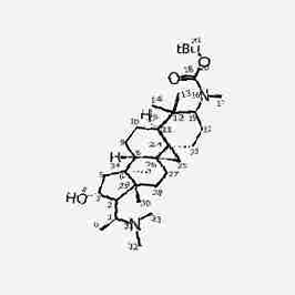 C[C@@H](C1[C@H](O)C[C@@]2(C)[C@@H]3CC[C@H]4C(C)(C)[C@@H](N(C)C(=O)OC(C)(C)C)CC[C@@]45C[C@@]35CC[C@]12C)N(C)C